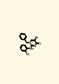 CCc1ccccc1Nc1nc(=O)c(Br)cn1Cc1ccccc1